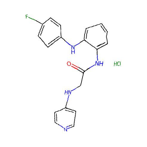 Cl.O=C(CNc1ccncc1)Nc1ccccc1Nc1ccc(F)cc1